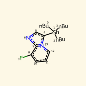 CCC[CH2][Sn]([CH2]CCC)([CH2]CCC)[c]1cnc2c(F)cccn12